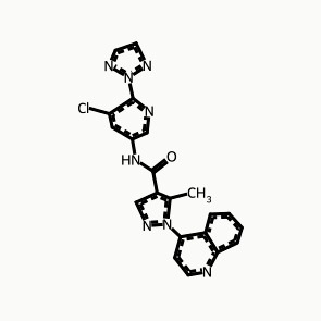 Cc1c(C(=O)Nc2cnc(-n3nccn3)c(Cl)c2)cnn1-c1ccnc2ccccc12